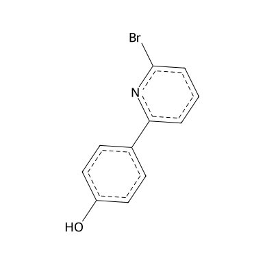 Oc1ccc(-c2cccc(Br)n2)cc1